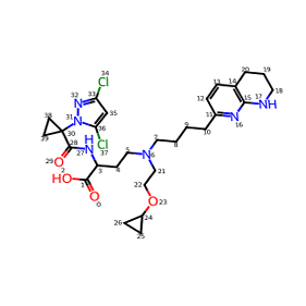 O=C(O)C(CCN(CCCCc1ccc2c(n1)NCCC2)CCOC1CC1)NC(=O)C1(n2nc(Cl)cc2Cl)CC1